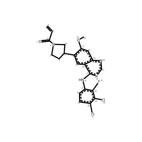 C=CC(=O)N1CCC(c2cc3c(Nc4ccc(Cl)c(Cl)c4F)ncnc3cc2OC)C1